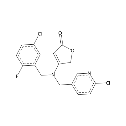 O=C1C=C(N(Cc2ccc(Cl)nc2)Cc2cc(Cl)ccc2F)CO1